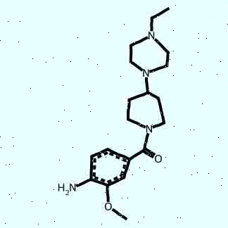 CCN1CCN(C2CCN(C(=O)c3ccc(N)c(OC)c3)CC2)CC1